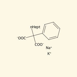 CCCCCCCC(C(=O)[O-])(C(=O)[O-])c1ccccc1.[K+].[Na+]